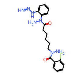 N=NNc1ccccc1N(N)C(=O)CCCCCN(N)C(=O)c1ccccc1F